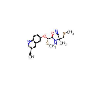 C#Cc1cnc2ccc(OC(SC)C(=O)NC(C)(C#N)CSC)cc2c1